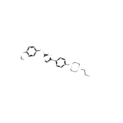 CCCN1CCN(c2ccc(-c3csc(Nc4ccc5c(c4)OCO5)n3)cc2)CC1